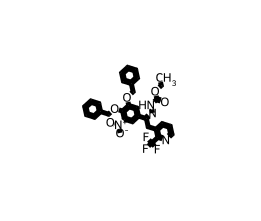 CCOC(=O)NN=C(Cc1cccnc1C(F)(F)F)c1cc(OCc2ccccc2)c(OCc2ccccc2)c([N+](=O)[O-])c1